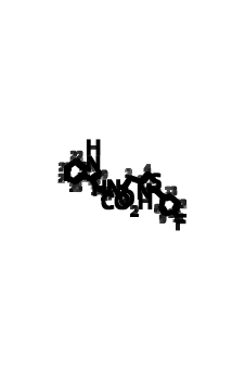 O=C(Cc1csc(-c2ccc(F)cc2)n1)N[C@@H](Cc1c[nH]c2ccccc12)C(=O)O